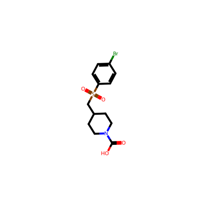 O=C(O)N1CCC(CS(=O)(=O)c2ccc(Br)cc2)CC1